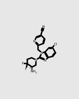 N#Cc1ccc(Cn2c(N3CCC(F)(F)[C@H](N)C3)nc3ccc(Cl)cc32)nc1